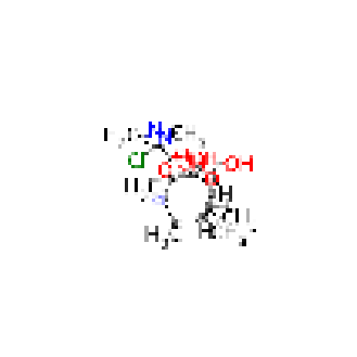 C/C1=C/C[C@H](C)C[C@@H]2[C@H]([C@@H]3C=C(CO)[C@@H](O)[C@@](O)(CC3=O)[C@H]1OC(=O)c1c(Cl)c(C)nn1C)C2(C)C